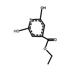 CCOC(=O)c1cc(O)nc(O)c1